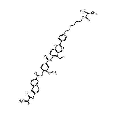 C=C(C)C(=O)OCCCCCCc1ccc(C(=O)Oc2ccc(OC(=O)c3ccc(OC(=O)c4ccc5cc(OC(=O)C(=C)F)ccc5c4)c(OC)c3)c(C=O)c2F)cc1